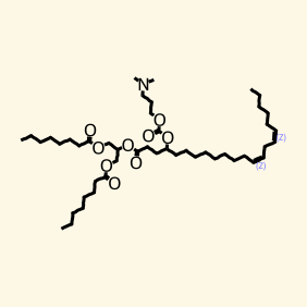 CCCCC/C=C\C/C=C\CCCCCCCCC(CCC(=O)OC(COC(=O)CCCCCCC)COC(=O)CCCCCCC)OC(=O)OCCCN(C)C